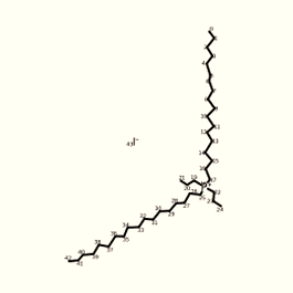 CCCCCCCCCCCCCCCCCC[P+](CCC)(CCC)CCCCCCCCCCCCCCCCCC.[I-]